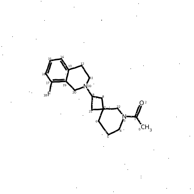 CC(=O)N1CCCC2(CC(N3CCc4cccc(F)c4C3)C2)C1